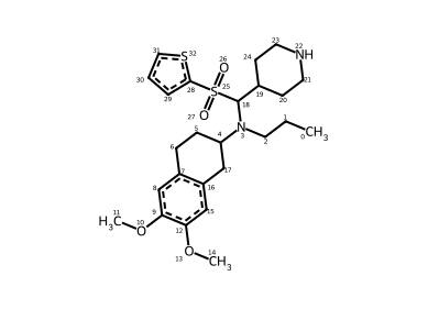 CCCN(C1CCc2cc(OC)c(OC)cc2C1)C(C1CCNCC1)S(=O)(=O)c1cccs1